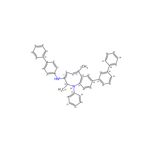 C/C1=C\C=C(\Nc2ccc(-c3ccccc3)cc2)C(C)N(c2ccccc2)c2ccc(-c3cccc(-c4ccccc4)c3)cc21